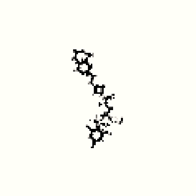 Cc1cc(C)c(S(=O)(=O)N[C@@H](CNC(=O)[C@H]2C[C@H](CCc3ccc4c(n3)NCCC4)C2)C(=O)O)c(C)c1